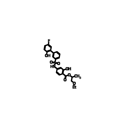 CCOCC(C)OC(=O)c1ccc(NS(=O)(=O)c2cccc(-c3cc(F)ccc3O)c2)cc1O